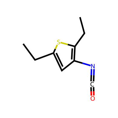 CCc1cc(N=C=O)c(CC)s1